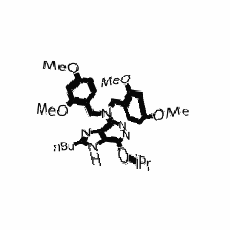 CCCCc1nc2c(N(Cc3ccc(OC)cc3OC)Cc3ccc(OC)cc3OC)nnc(OC(C)C)c2[nH]1